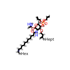 C=CCOP(=O)(OCC=C)O[C@H]1[C@H](OCC[C@H](C)CCCCCCC)[C@@H](NC(=O)CCCCCCCCC/C=C\CCCCCC)[C@@H](OC(C)=N)O[C@@H]1CC